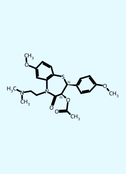 COc1ccc([C@@H]2Sc3ccc(OC)cc3N(CCN(C)C)C(=O)[C@@H]2OC(C)=O)cc1